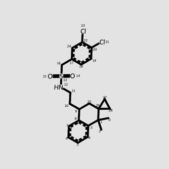 CC1(C)c2ccccc2C(CCNS(=O)(=O)Cc2ccc(Cl)c(Cl)c2)CC12CC2